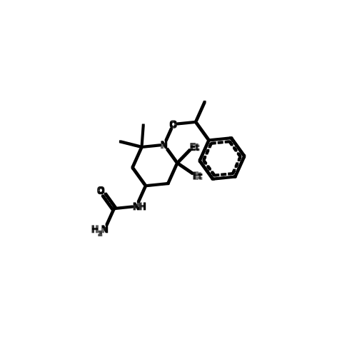 CCC1(CC)CC(NC(N)=O)CC(C)(C)N1OC(C)c1ccccc1